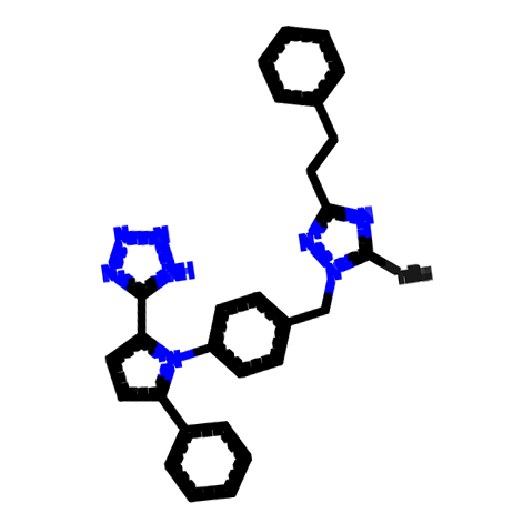 CCCCc1nc(CCc2ccccc2)nn1Cc1ccc(-n2c(-c3ccccc3)ccc2-c2nnn[nH]2)cc1